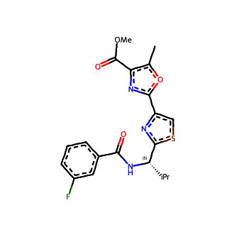 COC(=O)c1nc(-c2csc([C@@H](NC(=O)c3cccc(F)c3)C(C)C)n2)oc1C